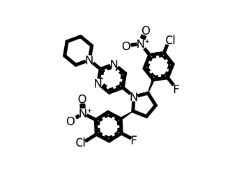 O=[N+]([O-])c1cc([C@H]2CC[C@@H](c3cc([N+](=O)[O-])c(Cl)cc3F)N2c2cnc(N3CCCCC3)nc2)c(F)cc1Cl